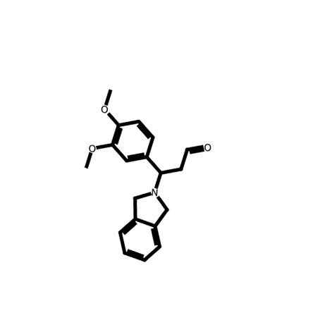 COc1ccc(C(CC=O)N2Cc3ccccc3C2)cc1OC